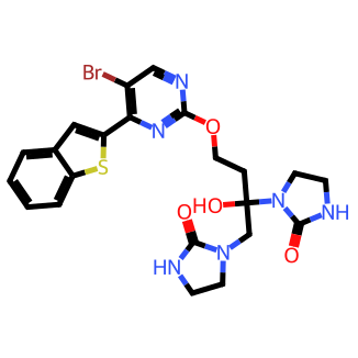 O=C1NCCN1CC(O)(CCOc1ncc(Br)c(-c2cc3ccccc3s2)n1)N1CCNC1=O